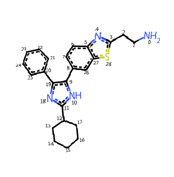 NCCc1nc2ccc(-c3[nH]c(C4CCCCC4)nc3-c3ccccc3)cc2s1